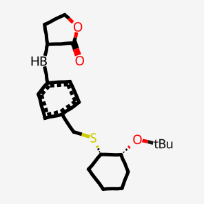 CC(C)(C)O[C@@H]1CCCC[C@@H]1SCc1ccc(BC2CCOC2=O)cc1